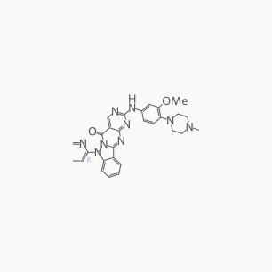 C=N/C(=C\C)n1c2ccccc2c2nc3nc(Nc4ccc(N5CCN(C)CC5)c(OC)c4)ncc3c(=O)n21